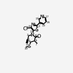 C#CCN(C(=O)C(C)CSC)c1sc(-c2cccnc2)nc1Cl